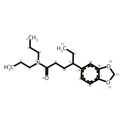 CCCN(CCC)C(=O)CC[C](CC)c1ccc2c(c1)OCO2